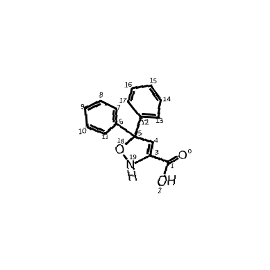 O=C(O)C1=CC(c2ccccc2)(c2ccccc2)ON1